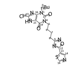 CCCCn1c(=O)n(CCCCc2noc(-c3cncs3)n2)c(=O)c2[nH]c(Cl)nc21